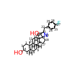 C[C@]12CC[C@H](O)C[C@@H]1CC[C@@H]1[C@@H]2CC[C@@]2(C)[C@H]1CC[C@@]21N=C(Cc2ccc(F)cc2)[C@H]1O